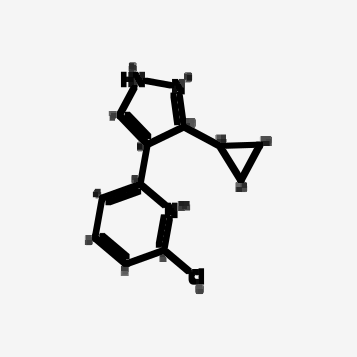 Clc1cccc(-c2c[nH]nc2C2CC2)n1